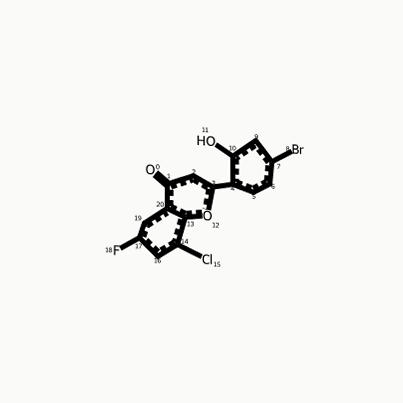 O=c1cc(-c2ccc(Br)cc2O)oc2c(Cl)cc(F)cc12